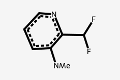 CNc1cccnc1C(F)F